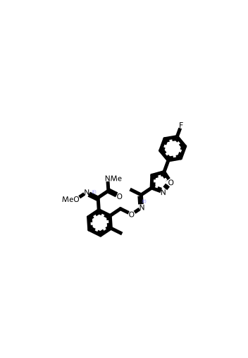 CNC(=O)/C(=N/OC)c1cccc(C)c1CO/N=C(\C)c1cc(-c2ccc(F)cc2)on1